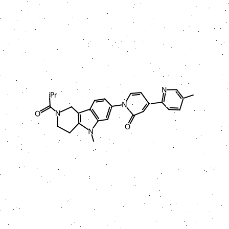 Cc1ccc(-c2ccn(-c3ccc4c5c(n(C)c4c3)CCN(C(=O)C(C)C)C5)c(=O)c2)nc1